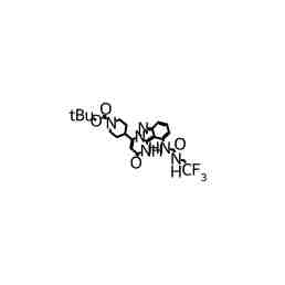 CC(C)(C)OC(=O)N1CCC(c2cc(=O)[nH]c3c4c(NC(=O)NCC(F)(F)F)cccc4nn23)CC1